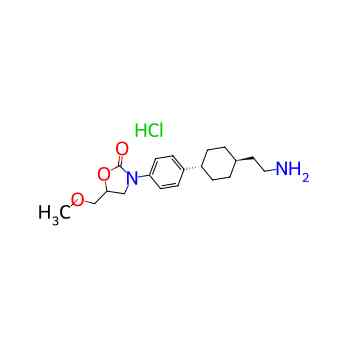 COCC1CN(c2ccc([C@H]3CC[C@H](CCN)CC3)cc2)C(=O)O1.Cl